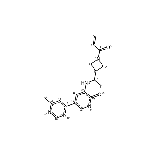 C=CC(=O)N1CC(C(C)Nc2cc(-c3cc(C)ncn3)c[nH]c2=O)C1